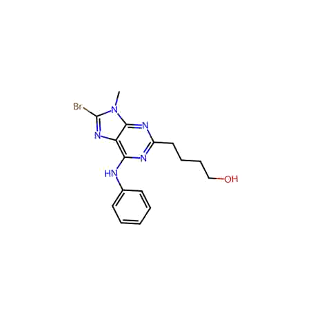 Cn1c(Br)nc2c(Nc3ccccc3)nc(CCCCO)nc21